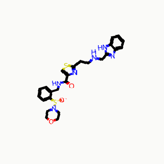 O=C(NCc1ccccc1[S+]([O-])N1CCOCC1)c1csc(CCNCc2nc3ccccc3[nH]2)n1